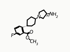 COC(=O)c1cc(F)ccc1[C@H]1CC[C@H](N2CC[C@@H](N)C2)CC1